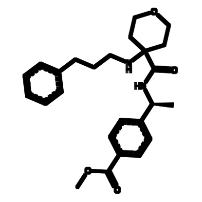 COC(=O)c1ccc([C@H](C)NC(=O)C2(NCCCc3ccccc3)CCOCC2)cc1